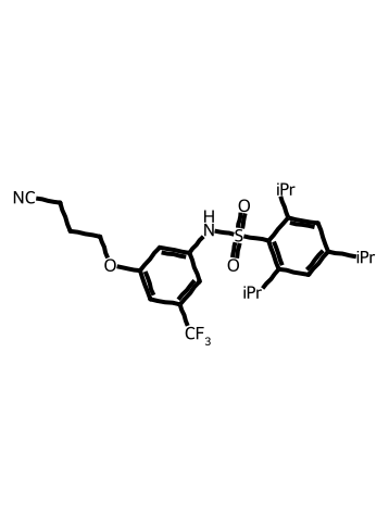 CC(C)c1cc(C(C)C)c(S(=O)(=O)Nc2cc(OCCCC#N)cc(C(F)(F)F)c2)c(C(C)C)c1